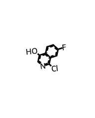 Oc1cnc(Cl)c2cc(F)ccc12